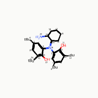 CC(C)(C)c1cc(N(c2cc(C(C)(C)C)cc(C(C)(C)C)c2O)C2CCCCC2N)c(O)c(C(C)(C)C)c1